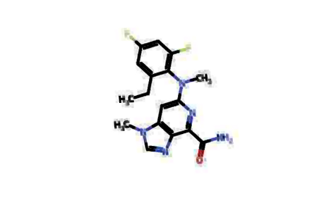 CCc1cc(F)cc(F)c1N(C)c1cc2c(ncn2C)c(C(N)=O)n1